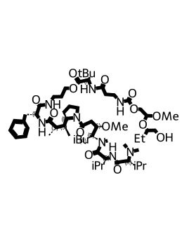 CCC(CO)OC(COC(=O)NCCC(=O)N[C@@H](C(=O)OCCCNC(=O)[C@@H](Cc1ccccc1)NC(=O)[C@@H](C)[C@H](C)[C@H]1CCCN1C(=O)C[C@H](OC)[C@@H]([C@H](C)CC)N(C)C(=O)[C@H](NC(=O)[C@@H](C(C)C)N(C)C)C(C)C)C(C)(C)C)OC